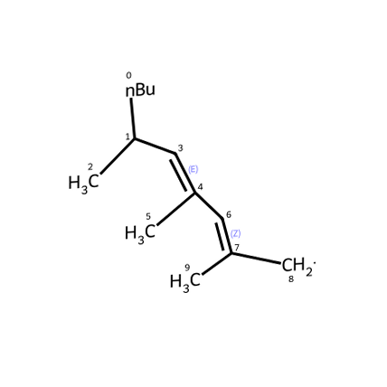 [CH2]CCCC(C)/C=C(C)/C=C(/[CH2])C